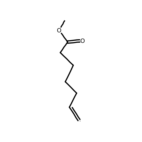 [CH]=CCCCCC(=O)OC